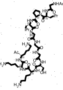 CC(=O)NCC(=O)N[C@@H](CC(C)C)C(=O)N1CCC[C@H]1C(=O)N[C@@H](CC(C)C)C(=O)NCC(=O)NCC(=O)NCC(=O)N[C@@H](CO)C(=O)N[C@@H](CCCCN)C(=O)N[C@@H](CCCCN)C(=O)N[C@@H](CCCCN)C(C)=O